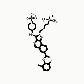 C[Si](C)(C)CCOCn1nc2c(ncc3cc(C(=O)Oc4c(F)cccc4F)ccc32)c1NC1CCN(S(C)(=O)=O)CC1